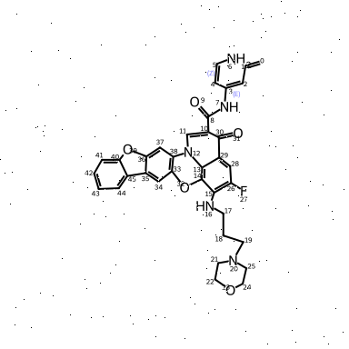 C=C/C=C(\C=C/N)NC(=O)c1cn2c3c(c(NCCCN4CCOCC4)c(F)cc3c1=O)Oc1cc3c(cc1-2)oc1ccccc13